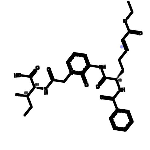 CCOC(=O)/C=C/CC[C@H](NC(=O)c1ccccc1)C(=O)Nc1cccn(CC(=O)N[C@@H](C(=O)O)[C@H](C)CC)c1=O